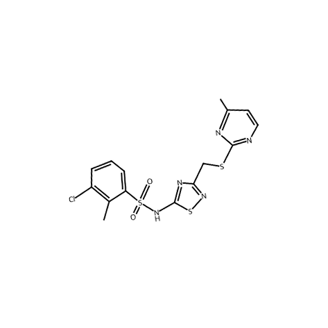 Cc1ccnc(SCc2nsc(NS(=O)(=O)c3cccc(Cl)c3C)n2)n1